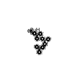 O=[C](Br)[RuH].c1ccc(P(c2ccccc2)c2ccccc2)cc1.c1ccc(P(c2ccccc2)c2ccccc2)cc1.c1ccc(P(c2ccccc2)c2ccccc2)cc1